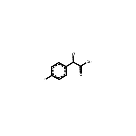 O=C(O)C(Cl)c1ccc(F)cc1